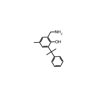 Cc1cc(CN)c(O)c(C(C)(C)c2ccccc2)c1